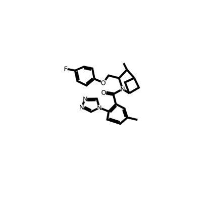 Cc1ccc(-n2cnnc2)c(C(=O)N2C3CC(C3)C(C)C2COc2ccc(F)cc2)c1